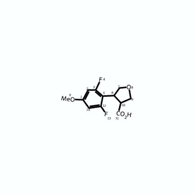 COc1cc(F)c(C2COCC2C(=O)O)c(F)c1